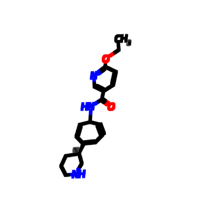 CCOc1ccc(C(=O)NC2C#CC=C([C@@H]3CCCNC3)C=C2)cn1